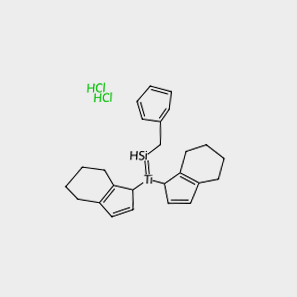 C1=C[CH]([Ti](=[SiH]Cc2ccccc2)[CH]2C=CC3=C2CCCC3)C2=C1CCCC2.Cl.Cl